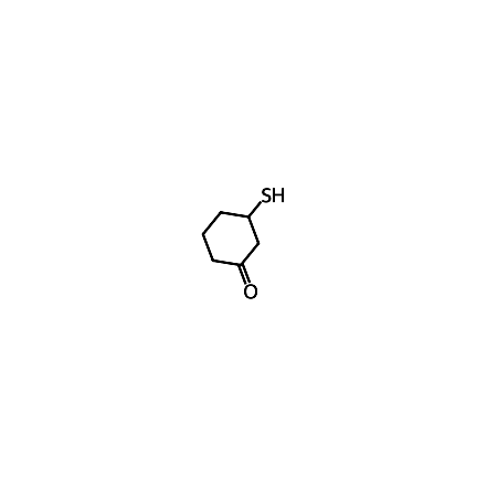 O=C1CCCC(S)C1